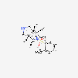 C=C1C[C@@H]2[C@@H]3CNC[C@@H]3[C@H]1N2S(=O)(=O)c1ccccc1OC